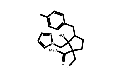 COC(=O)C1(CCl)CCC(Cc2ccc(F)cc2)C1(O)Cn1cncn1